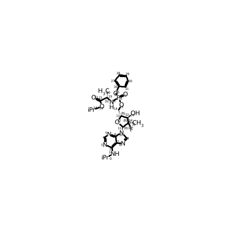 CC(C)Nc1ncnc2c1ncn2[C@@H]1O[C@H](COP(=O)(N[C@@H](C)C(=O)OC(C)C)Oc2ccccc2)[C@@H](O)[C@@]1(C)F